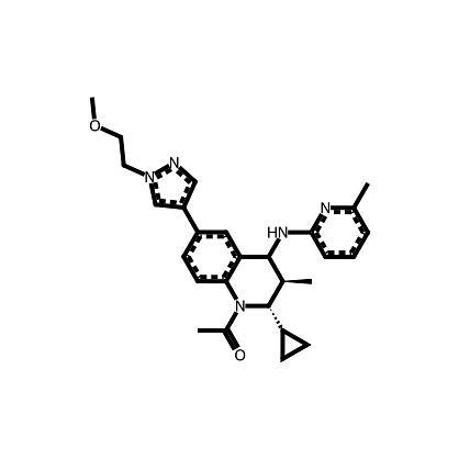 COCCn1cc(-c2ccc3c(c2)C(Nc2cccc(C)n2)[C@@H](C)[C@H](C2CC2)N3C(C)=O)cn1